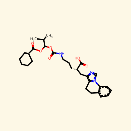 CC(C)C(OC(=O)NCCC[C@@H](Cc1ncn2c1CCc1ccccc1-2)C(=O)O)OC(=O)C1CCCCC1